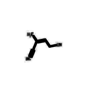 C#C/C(C)=C\CO